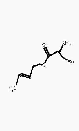 CC=CCOC(=O)C(C)S